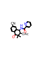 CC(=O)OC1C(NC(=O)c2ccccn2)c2cc(C#N)ccc2C(=O)C1(C)C